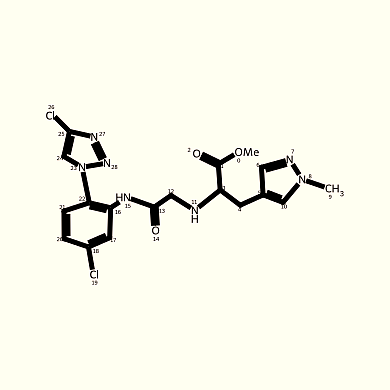 COC(=O)C(Cc1cnn(C)c1)NCC(=O)Nc1cc(Cl)ccc1-n1cc(Cl)nn1